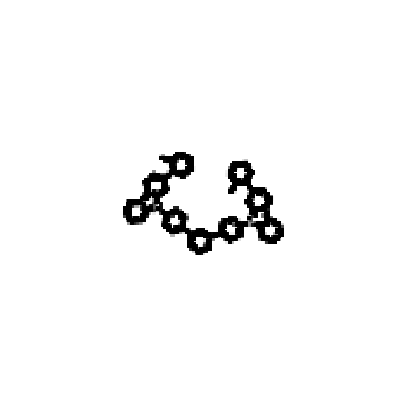 Cc1ccccc1-c1ccc2c3ccccc3n(-c3ccc(-c4cccc(-c5ccc(-n6c7ccccc7c7ccc(-c8ccccc8C)cc76)cc5)c4)cc3)c2c1